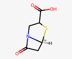 O=C(O)C1CN2C(=O)C[C@@H]2S1